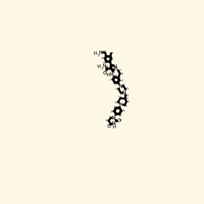 Cc1cc(-c2nn3c(c2C(N)=O)Nc2ccc(N4CCN(CC5CCN(c6ccc(N7CCC(=O)NC7=O)cc6)CC5)CC4)cc2CC3)ccc1CN